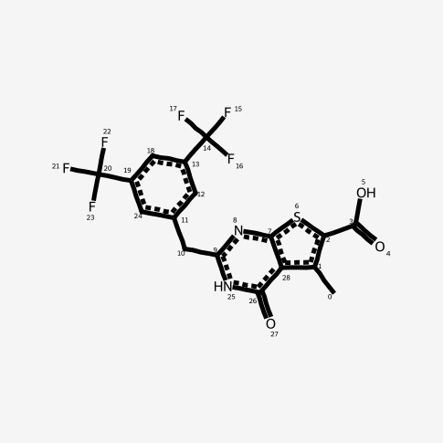 Cc1c(C(=O)O)sc2nc(Cc3cc(C(F)(F)F)cc(C(F)(F)F)c3)[nH]c(=O)c12